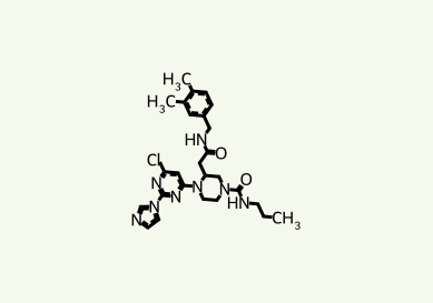 CCCNC(=O)N1CCN(c2cc(Cl)nc(-n3ccnc3)n2)C(CC(=O)NCc2ccc(C)c(C)c2)C1